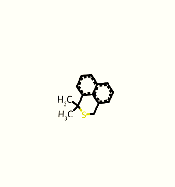 CC1(C)SCc2cccc3cccc1c23